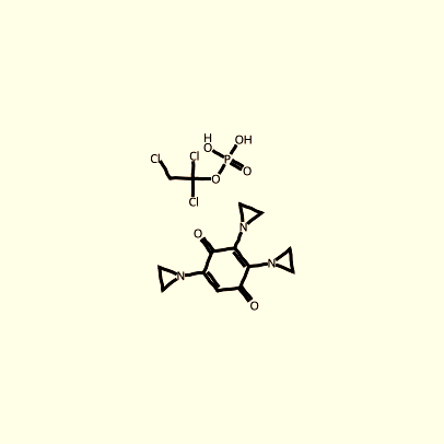 O=C1C=C(N2CC2)C(=O)C(N2CC2)=C1N1CC1.O=P(O)(O)OC(Cl)(Cl)CCl